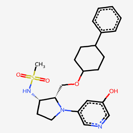 CS(=O)(=O)N[C@H]1CCN(c2cncc(O)c2)[C@H]1COC1CCC(c2ccccc2)CC1